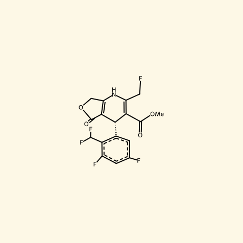 COC(=O)C1=C(CF)NC2=C(C(=O)OC2)[C@H]1c1cc(F)cc(F)c1C(F)F